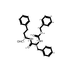 O=C[C@H](CCc1ccccc1)NC(=O)[C@H](Cc1ccccc1)NC(=O)OCc1ccccc1